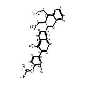 CCCC(CC)c1ccccc1CCc1ccc2c(F)c(-c3ccc(OC(F)F)c(F)c3)ccc2c1